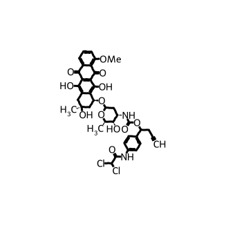 C#CCC(OC(=O)N[C@H]1CC(O[C@H]2C[C@@](C)(O)Cc3c(O)c4c(c(O)c32)C(=O)c2c(OC)cccc2C4=O)O[C@@H](C)[C@H]1O)c1ccc(NC(=O)C(Cl)Cl)cc1